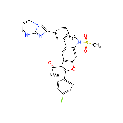 CNC(=O)c1c(-c2ccc(F)cc2)oc2cc(N(C)S(C)(=O)=O)c(-c3cccc(-c4cn5cccnc5n4)c3)cc12